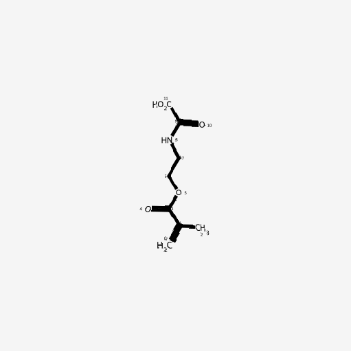 C=C(C)C(=O)OCCNC(=O)C(=O)O